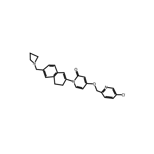 O=c1cc(OCc2ccc(Cl)cn2)ccn1C1=Cc2ccc(CN3CCC3)cc2CC1